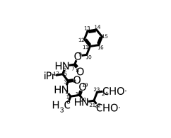 CC(NC(=O)C(NC(=O)OCc1ccccc1)C(C)C)C(=O)NC([C]=O)C[C]=O